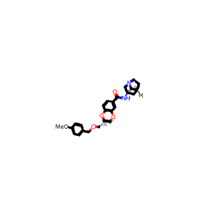 COc1ccc(COC[C@H]2COc3cc(C(=O)N[C@@H]4C[C@@H]5CCN(C5)C4)ccc3O2)cc1